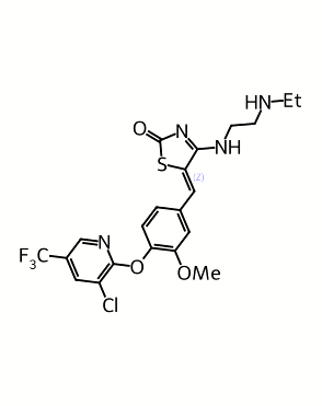 CCNCCNC1=NC(=O)S/C1=C\c1ccc(Oc2ncc(C(F)(F)F)cc2Cl)c(OC)c1